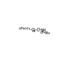 CCCCC/C=C/c1ccc(-c2ccc(NC(=O)OC(C)(C)C)cc2)nc1